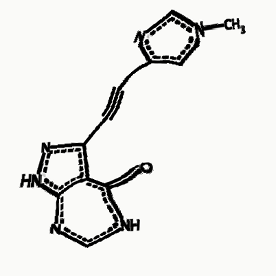 Cn1cnc(C#Cc2n[nH]c3nc[nH]c(=O)c23)c1